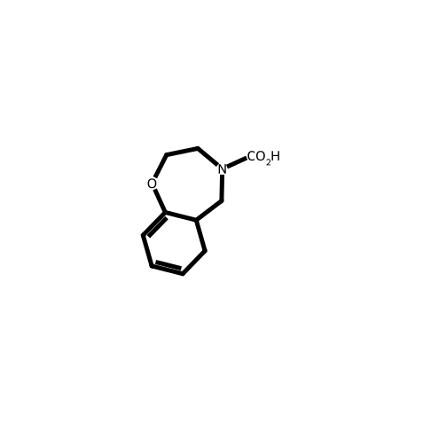 O=C(O)N1CCOC2=CC=CCC2C1